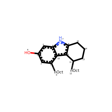 CCCCCCCCc1cc(O)cc2[nH]c3c(c12)C(CCCCCCCC)CCC3